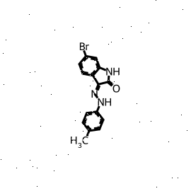 Cc1ccc(N/N=C2\C(=O)Nc3cc(Br)ccc32)cc1